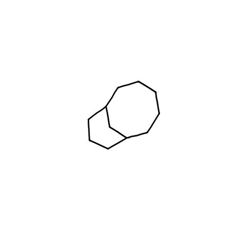 C1CC[C]2CCCC(CC1)C2